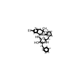 CCc1cc2c(s1)CC(C)(C)C[C@@H]2NC[C@H](O)[C@H](Cc1ccccc1)NC(=O)CN1CCCC1=O